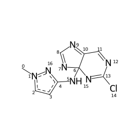 Cn1ccc(NC23N=CN=C2C=NC(Cl)=N3)n1